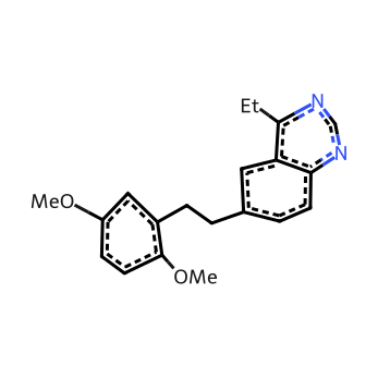 CCc1ncnc2ccc(CCc3cc(OC)ccc3OC)cc12